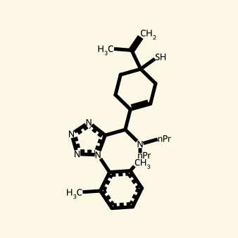 C=C(C)C1(S)CC=C(C(c2nnnn2-c2c(C)cccc2C)N(CCC)CCC)CC1